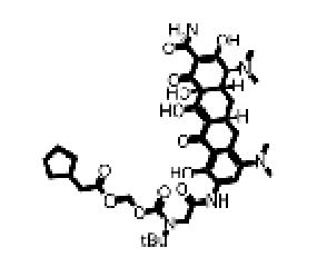 CN(C)c1cc(NC(=O)CN(C(=O)OCOC(=O)CC2CCCC2)C(C)(C)C)c(O)c2c1C[C@H]1C[C@H]3[C@H](N(C)C)C(O)=C(C(N)=O)C(=O)[C@@]3(O)C(O)=C1C2=O